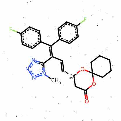 Cn1nnnc1C(C=C[C@H]1CC(=O)OC2(CCCCC2)O1)=C(c1ccc(F)cc1)c1ccc(F)cc1